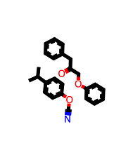 CC(C)c1ccc(OC#N)cc1.O=C(COc1ccccc1)Cc1ccccc1